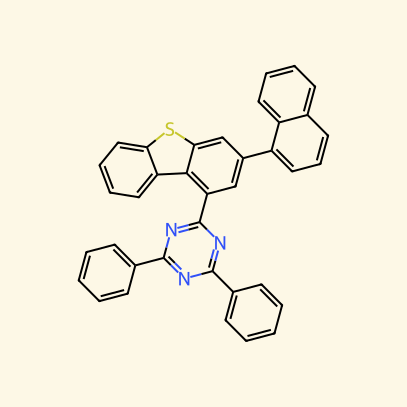 c1ccc(-c2nc(-c3ccccc3)nc(-c3cc(-c4cccc5ccccc45)cc4sc5ccccc5c34)n2)cc1